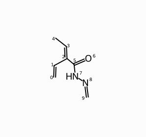 C=C/C(=C\C)C(=O)NN=C